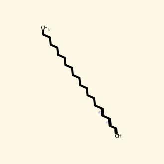 [CH]=C/C=C/C=C/CCCCCCCCCCCCCCCC